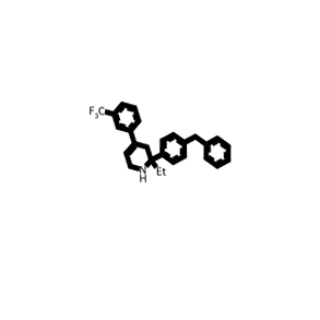 CCC1(c2ccc(Cc3ccccc3)cc2)CC(c2cccc(C(F)(F)F)c2)=CCN1